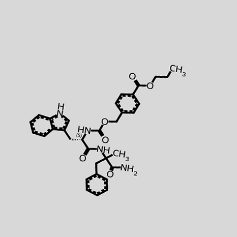 CCCOC(=O)c1ccc(COC(=O)N[C@@H](Cc2c[nH]c3ccccc23)C(=O)NC(C)(Cc2ccccc2)C(N)=O)cc1